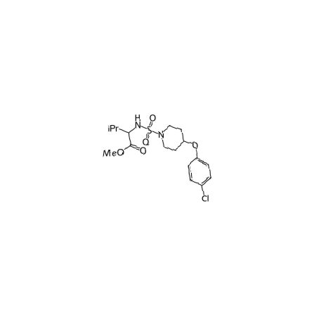 COC(=O)C(NS(=O)(=O)N1CCC(Oc2ccc(Cl)cc2)CC1)C(C)C